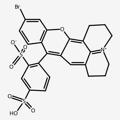 O=S(=O)([O-])c1cc(S(=O)(=O)O)ccc1C1=c2cc3c4c(c2Oc2cc(Br)ccc21)CCC[N+]=4CCC3